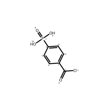 O=C(Cl)c1ccc(P(=O)(O)O)cc1